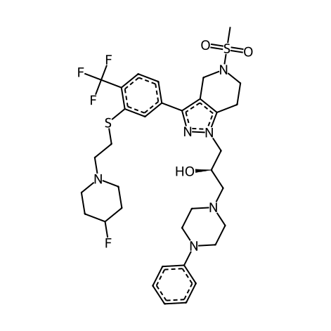 CS(=O)(=O)N1CCc2c(c(-c3ccc(C(F)(F)F)c(SCCN4CCC(F)CC4)c3)nn2C[C@H](O)CN2CCN(c3ccccc3)CC2)C1